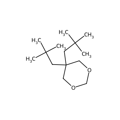 CC(C)(C)CC1(CC(C)(C)C)COCOC1